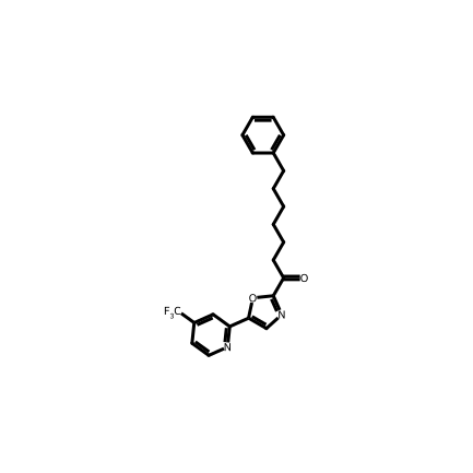 O=C(CCCCCCc1ccccc1)c1ncc(-c2cc(C(F)(F)F)ccn2)o1